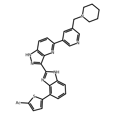 CC(=O)c1ccc(-c2cccc3[nH]c(-c4n[nH]c5ccc(-c6cncc(CN7CCCCC7)c6)nc45)nc23)s1